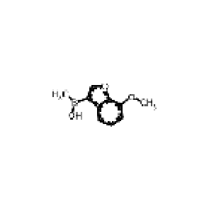 COc1cccc2c(B(C)O)coc12